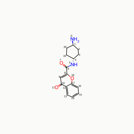 N[C@H]1CC[C@H](NC(=O)c2cc(=O)c3ccccc3o2)CC1